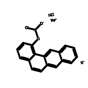 Cl.[K+].[Na+].[O-]B([O-])Oc1cccc2ccc3cc4ccccc4cc3c12